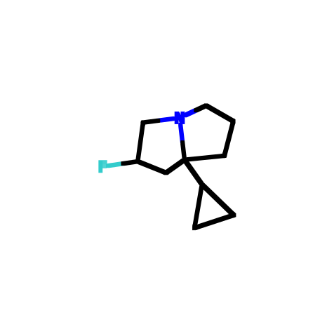 FC1CN2CCCC2(C2CC2)C1